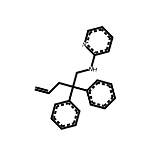 C=CCC(CNc1ccccn1)(c1ccccc1)c1ccccc1